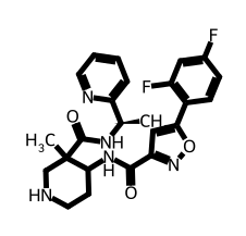 C[C@@H](NC(=O)C1(C)CNCCC1NC(=O)c1cc(-c2ccc(F)cc2F)on1)c1ccccn1